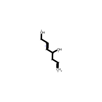 C=CCC(O)/C=C/CO